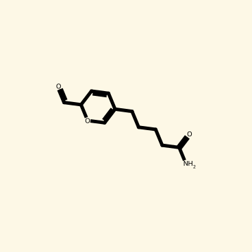 NC(=O)CCCCC1=COC(C=O)C=C1